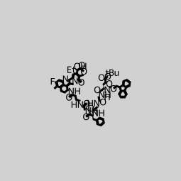 CC[C@@]1(O)C(=O)OCc2c1cc1n(c2=O)Cc2c-1nc1cc(F)c(C)c3c1c2[C@@H](NC(=O)CCCNC(=O)CNC(=O)[C@H](Cc1ccccc1)NC(=O)CNC(=O)CNC(=O)[C@H](CCC(=O)OC(C)(C)C)NC(=O)OCC1c2ccccc2-c2ccccc21)CC3